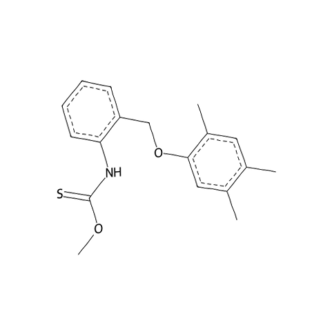 COC(=S)Nc1ccccc1COc1cc(C)c(C)cc1C